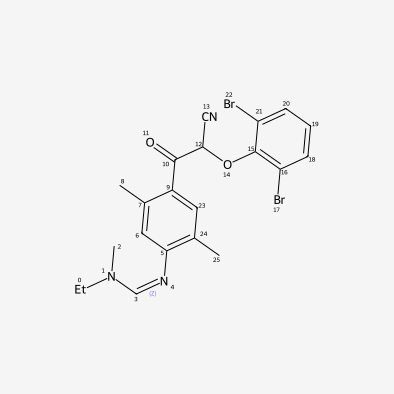 CCN(C)/C=N\c1cc(C)c(C(=O)C(C#N)Oc2c(Br)cccc2Br)cc1C